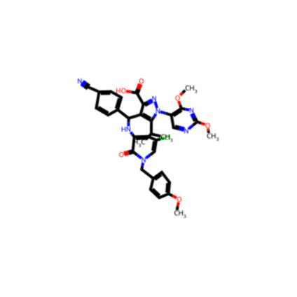 COc1ccc(Cn2cc(Cl)cc(NC(c3ccc(C#N)cc3)c3c(C(=O)O)nn(-c4cnc(OC)nc4OC)c3C(C)C)c2=O)cc1